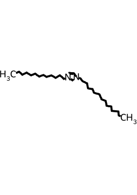 CCCCCCCCCCCCCCCN1C=CN(CCCCCCCCCCCCC)C1